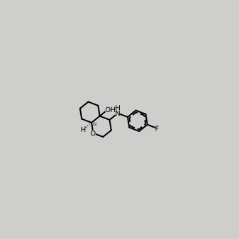 OC12CCCC[C@@H]1OCCC2Nc1ccc(F)cc1